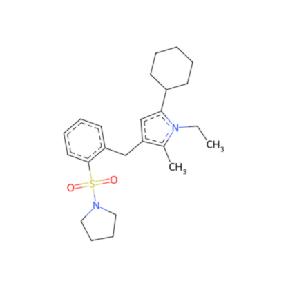 CCn1c(C2CCCCC2)cc(Cc2ccccc2S(=O)(=O)N2CCCC2)c1C